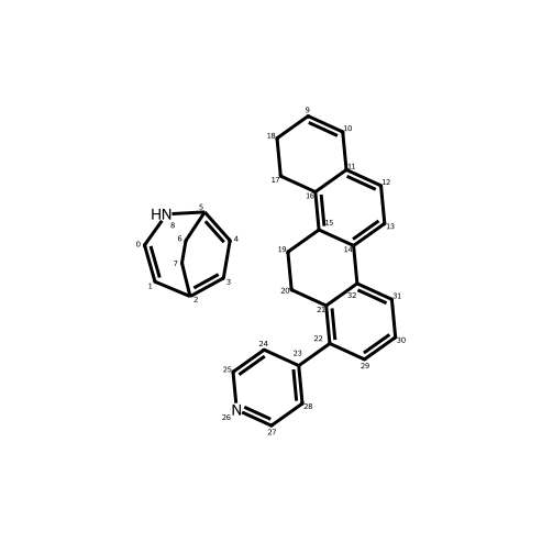 C1=CC2=CC=C(CC2)N1.C1=Cc2ccc3c(c2CC1)CCc1c(-c2ccncc2)cccc1-3